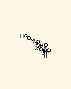 O=C(NCC(=O)N1CCN(c2ccc(O)cc2)CC1)c1ccc(S(=O)(=O)Nc2ccccc2Oc2ccccc2)cc1